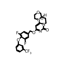 O=c1nc(OCc2cc(F)c(Oc3cccc(C(F)(F)F)c3)c(F)c2)cc2n1CC[C@H]1COCCN21